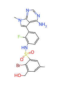 Cc1cc(CO)c(Br)c(S(=O)(=O)Nc2cccc(-c3cn(C)c4ncnc(N)c34)c2F)c1